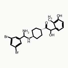 Cc1c(O)cccc1C(O)C(=O)[C@H]1CC[C@H](NC(N)c2cc(Br)cc(Br)c2)CC1